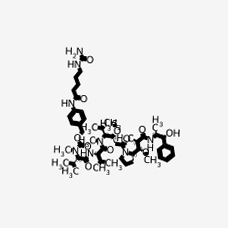 CO[C@H]([C@@H](C)C(=O)N[C@H](C)[C@@H](O)c1ccccc1)[C@@H]1CCCN1C(=O)C[C@@H](OC)[C@H](C(C)C)N(C)C(=O)[C@@H](NC(=O)[C@H](C(C)C)N(C)C(=O)OCc1ccc(NC(=O)CCCCNC(N)=O)cc1)C(C)C